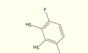 Fc1ccc(S)c(S)c1S